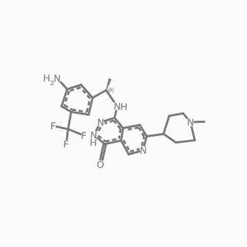 C[C@@H](Nc1n[nH]c(=O)c2cnc(C3CCN(C)CC3)cc12)c1cc(N)cc(C(F)(F)F)c1